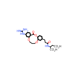 N=C(N)Nc1ccc2c(c1)OCCCOc1cc(CCC(=O)NC(CC(=O)O)C(=O)O)ccc1OC2=O